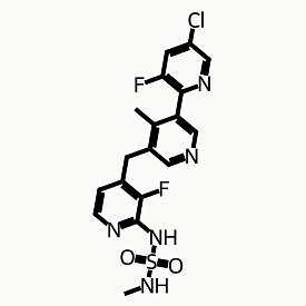 CNS(=O)(=O)Nc1nccc(Cc2cncc(-c3ncc(Cl)cc3F)c2C)c1F